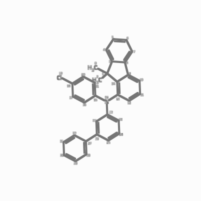 CC1(C)c2ccccc2-c2cccc(N(c3ccc(Cl)cc3)c3cccc(-c4ccccc4)c3)c21